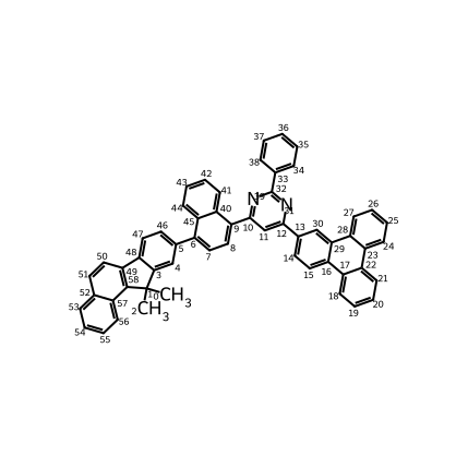 CC1(C)c2cc(-c3ccc(-c4cc(-c5ccc6c7ccccc7c7ccccc7c6c5)nc(-c5ccccc5)n4)c4ccccc34)ccc2-c2ccc3ccccc3c21